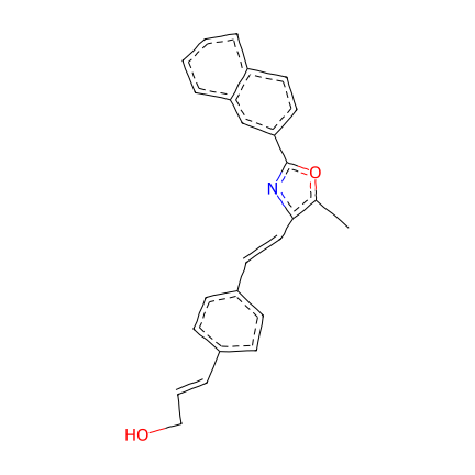 Cc1oc(-c2ccc3ccccc3c2)nc1C=Cc1ccc(C=CCO)cc1